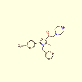 Cc1c(C(=O)CN2CCNCC2)cc(-c2ccc([N+](=O)[O-])cc2)n1Cc1ccccc1